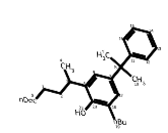 CCCCCCCCCCCCC(C)c1cc(C(C)(C)c2ccccc2)cc(CCCC)c1O